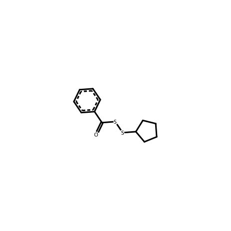 O=C(SSC1CCCC1)c1ccccc1